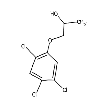 [CH2]C(O)COc1cc(Cl)c(Cl)cc1Cl